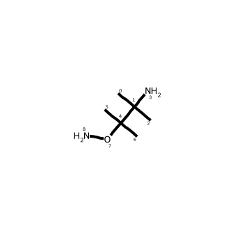 CC(C)(N)C(C)(C)ON